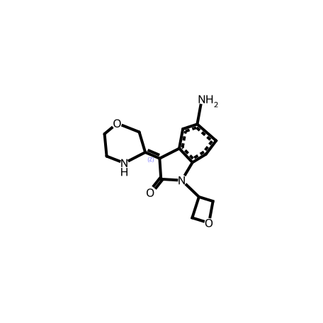 Nc1ccc2c(c1)/C(=C1\COCCN1)C(=O)N2C1COC1